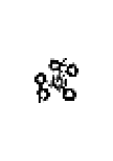 c1ccc(-c2nc(N3c4ccccc4Sc4ccccc43)nc(-n3c4ccccc4c4cnccc43)n2)cc1